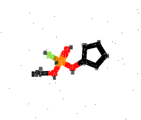 CCCOP(=O)(F)OC1CCCC1